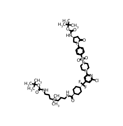 CC(C)(C)OC(=O)NCCC[N+](C)(C)CCCNC(=O)[C@H]1CC[C@H](C(F)(F)c2cc(Cl)nc(N3CCN(S(=O)(=O)c4ccc(N5C[C@H](NC(=O)OC(C)(C)C)CC5=O)cc4)CC3)c2)CC1